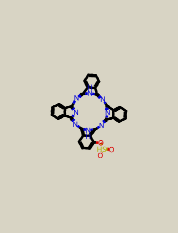 O=[SH](=O)Oc1cccc2c3nc4nc(nc5[nH]c(nc6nc(nc([nH]3)c12)-c1ccccc1-6)c1ccccc51)-c1ccccc1-4